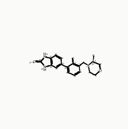 Cc1c(CN2CCOC[C@@H]2C)cccc1-c1ccc2[nH]c(=O)[nH]c2c1